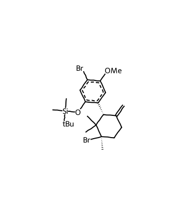 C=C1CC[C@@](C)(Br)C(C)(C)[C@@H]1c1cc(OC)c(Br)cc1O[Si](C)(C)C(C)(C)C